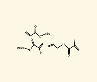 C=C(CC)C(=O)OCCCCCC.C=CC(=O)OCCCC.C=CCOC(=O)C(=C)C